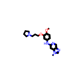 COc1ccc(Nc2cc3c(cn2)ncn3C)cc1OCCCN1CCCC1